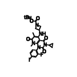 Cc1c(NC2CN(C(=O)OC(C)(C)C)C2)c2c(=O)n(C3CC3)c(=O)n(-c3ccc(I)cc3F)c2n(C)c1=O